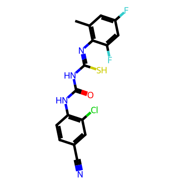 Cc1cc(F)cc(F)c1/N=C(\S)NC(=O)Nc1ccc(C#N)cc1Cl